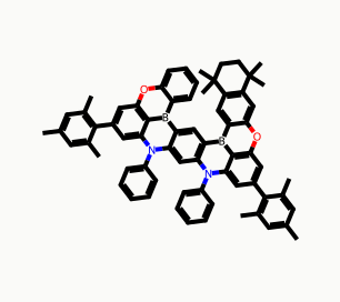 Cc1cc(C)c(-c2cc3c4c(c2)N(c2ccccc2)c2cc5c(cc2B4c2ccccc2O3)B2c3cc4c(cc3Oc3cc(-c6c(C)cc(C)cc6C)cc(c32)N5c2ccccc2)C(C)(C)CCC4(C)C)c(C)c1